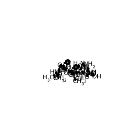 CC(C)C[C@H](NC(=O)CNC(=O)[C@H](Cc1ccccc1)NC(=O)[C@H](C)NC(=O)[C@H](Cc1ccc(O)cc1)NC(=O)[C@H](CC(C)C)NC(=O)[C@H](CCCN=C(N)N)NC(=O)CNC(=O)[C@H](CC(=O)O)NC(=O)CN)C(N)=O